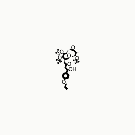 C=CCOc1ccc(C(O)CC(=O)C[C@H]2CO[C@@H](C[C@@H]3O[C@H]3[C@H](C)[C@H](C)O[Si](C)(C)C)[C@@H](O[Si](C)(C)C)[C@@H]2O[Si](C)(C)C)cc1